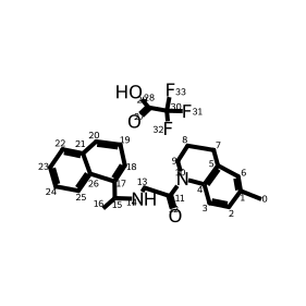 Cc1ccc2c(c1)CCCN2C(=O)CNC(C)c1cccc2ccccc12.O=C(O)C(F)(F)F